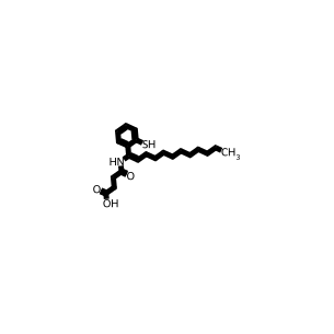 CCCCCCCCCC/C=C(/NC(=O)CCC(=O)O)c1ccccc1S